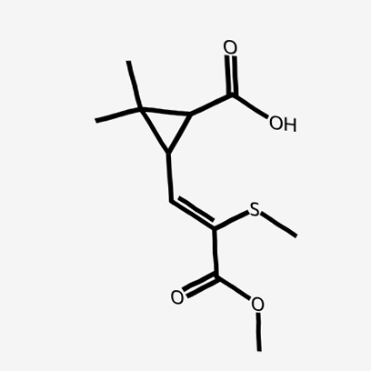 COC(=O)/C(=C/C1C(C(=O)O)C1(C)C)SC